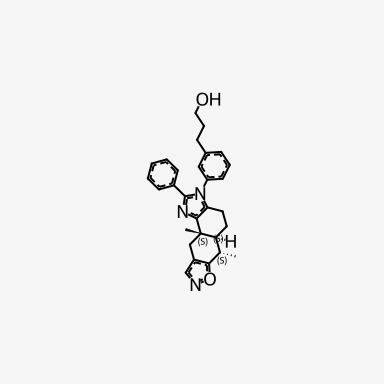 C[C@@H]1c2oncc2C[C@]2(C)c3nc(-c4ccccc4)n(-c4cccc(CCCO)c4)c3CC[C@@H]12